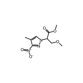 COCC(C(=O)OC)n1cc(C)c([N+](=O)[O-])n1